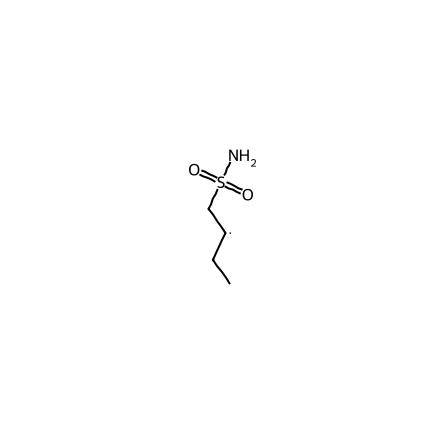 CC[CH]CS(N)(=O)=O